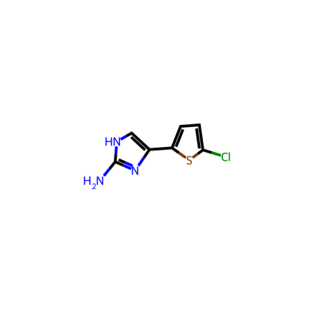 Nc1nc(-c2ccc(Cl)s2)c[nH]1